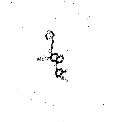 COc1cc2c(Oc3ccc(N)c(F)c3)ccnc2cc1OCCCN1CCOCC1